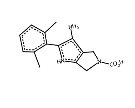 Cc1cccc(C)c1-c1[nH]c2c(c1N)CN(C(=O)O)C2